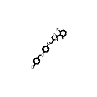 Fc1cccc(F)c1C1=NC(COc2ccc(OCc3ccc(Cl)cc3)cc2)CO1